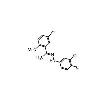 CNc1ccc(Cl)cc1/C(C)=N/Nc1ccc(Cl)c(Cl)c1